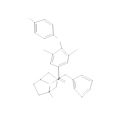 CCOC(=O)C12CCC(CN(Cc3ccccc3)C1)N2C(=O)c1cc(F)c(Oc2ccc(Cl)cc2)c(F)c1